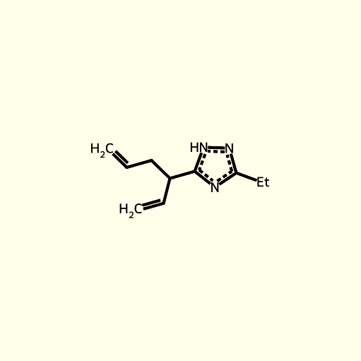 C=CC[C](C=C)c1nc(CC)n[nH]1